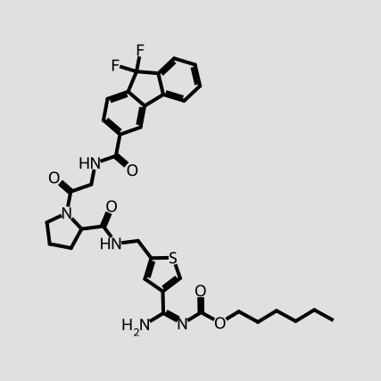 CCCCCCOC(=O)/N=C(/N)c1csc(CNC(=O)C2CCCN2C(=O)CNC(=O)c2ccc3c(c2)-c2ccccc2C3(F)F)c1